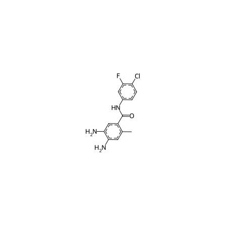 Cc1cc(N)c(N)cc1C(=O)Nc1ccc(Cl)c(F)c1